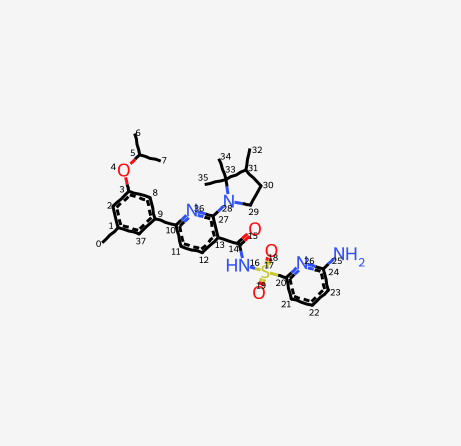 Cc1cc(OC(C)C)cc(-c2ccc(C(=O)NS(=O)(=O)c3cccc(N)n3)c(N3CCC(C)C3(C)C)n2)c1